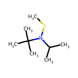 CSN(C(C)C)C(C)(C)C